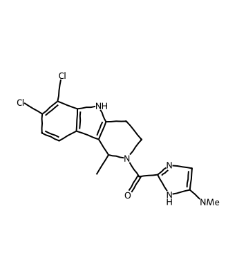 CNc1cnc(C(=O)N2CCc3[nH]c4c(Cl)c(Cl)ccc4c3C2C)[nH]1